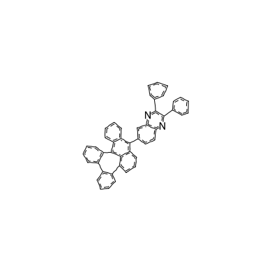 c1ccc(-c2nc3ccc(-c4c5ccccc5c5c6c(cccc46)-c4ccccc4-c4ccccc4-5)cc3nc2-c2ccccc2)cc1